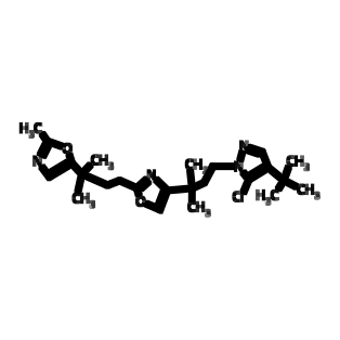 Cc1ncc(C(C)(C)CCc2nc(C(C)(C)CCn3ncc(C(C)(C)C)c3Cl)co2)o1